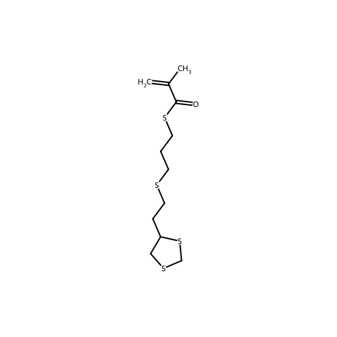 C=C(C)C(=O)SCCCSCCC1CSCS1